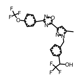 Cc1cc(-c2nc(-c3ccc(OC(F)(F)F)cc3)no2)nn1Cc1cccc(C(O)C(F)(F)F)c1